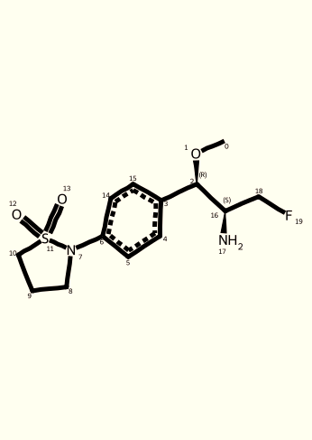 CO[C@H](c1ccc(N2CCCS2(=O)=O)cc1)[C@H](N)CF